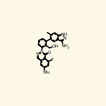 Cc1cc2[nH]nc(N)c2cc1-c1cccc(-n2ncc3cc(C(C)(C)C)cc(F)c3c2=O)c1CO